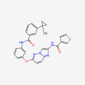 N#CC1(c2cccc(C(=O)Nc3cccc(Oc4ccc5nc(NC(=O)c6ccsc6)cn5n4)c3)c2)CC1